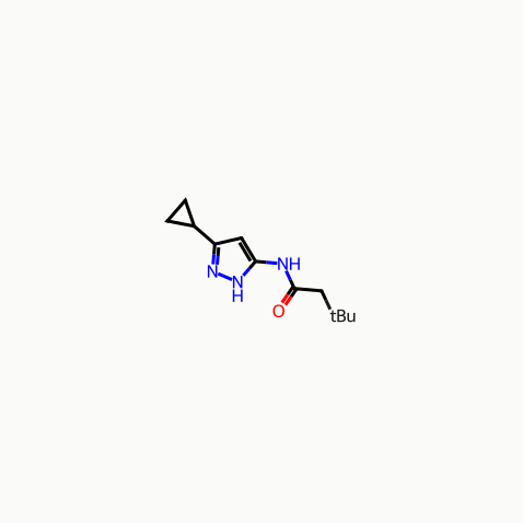 CC(C)(C)CC(=O)Nc1cc(C2CC2)n[nH]1